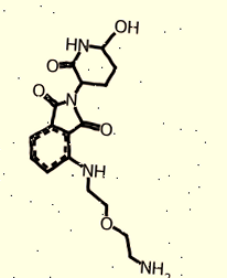 NCCOCCNc1cccc2c1C(=O)N(C1CCC(O)NC1=O)C2=O